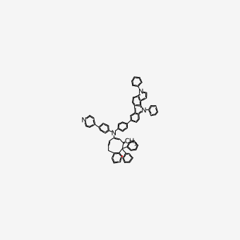 C=C1/C=C(N(c2ccc(-c3ccncc3)cc2)c2ccc(-c3ccc4c(c3)c3ccc5c(ccn5-c5ccccc5)c3n4-c3ccccc3)cc2)\C=C/Cc2ccccc2C1(c1ccccc1)c1ccccc1